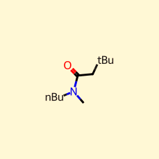 CCCCN(C)C(=O)CC(C)(C)C